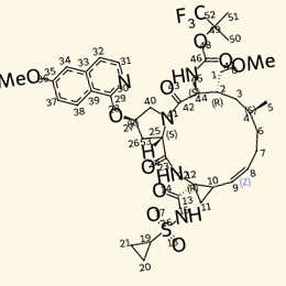 COC[C@@H]1C[C@@H](C)CC/C=C\C2C[C@@]2(C(=O)NS(=O)(=O)C2CC2)NC(=O)[C@@H]2C[C@@H](Oc3nccc4cc(OC)ccc34)CN2C(=O)[C@H]1NC(=O)OC(C)(C)C(F)(F)F